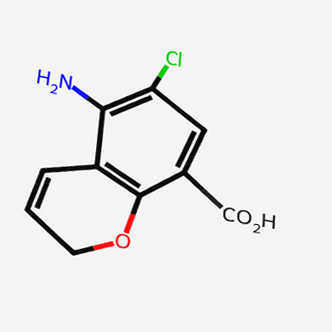 Nc1c(Cl)cc(C(=O)O)c2c1C=CCO2